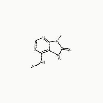 CC(C)Nc1ncnc2c1[nH]c(=O)n2C